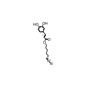 [N-]=[N+]=NCCCCCOC(=O)/C=C/c1ccc(O)c(O)c1